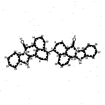 O=c1c2ccc(-c3ccc4c5c3cccc5c(=O)n3c5ccccc5nc43)c3cccc(c32)c2nc3ccccc3n12